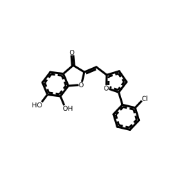 O=C1C(=Cc2ccc(-c3ccccc3Cl)o2)Oc2c1ccc(O)c2O